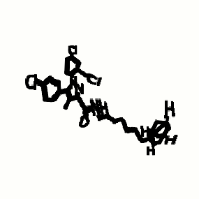 Cc1c(C(=O)NCCCCCCCC2[C@H]3C[C@@H]4C[C@@H](C[C@H]2C4)C3)nn(-c2ccc(Cl)cc2Cl)c1-c1ccc(Cl)cc1